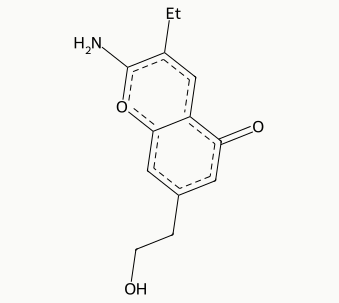 CCc1cc2c(=O)cc(CCO)cc-2oc1N